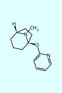 CN1[C@@H]2CCC[C@@]1(Oc1ccccn1)CC2